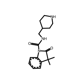 CC1(C)C(=O)N(C(=O)NCC2CCNCC2)c2ccccc21